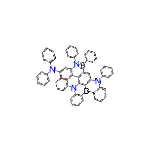 c1ccc(B2c3cc4c5c(c3-c3ccc(N(c6ccccc6)c6ccccc6)cc3N2c2ccccc2)N(c2ccccc2)c2ccccc2B5c2ccccc2N4c2ccccc2)cc1